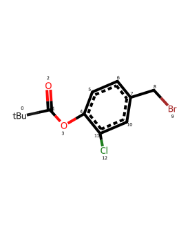 CC(C)(C)C(=O)Oc1ccc(CBr)cc1Cl